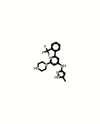 Cc1cc(Nc2cc(-c3ccccc3C(F)(F)F)nc(N3CCNCC3)c2)n[nH]1